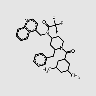 CC1CC(C)CC(C(=O)N2CCC(N(Cc3ccnc4ccccc34)C(=O)C(F)(F)F)CC2Cc2ccccc2)C1